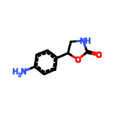 Nc1ccc(C2CNC(=O)O2)cc1